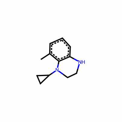 Cc1cccc2c1N(C1CC1)CCN2